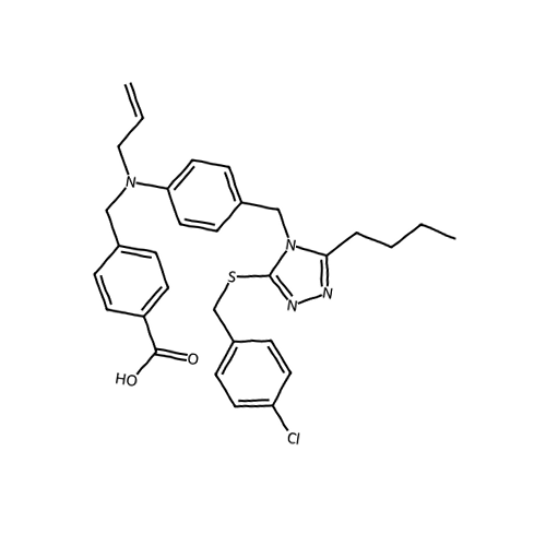 C=CCN(Cc1ccc(C(=O)O)cc1)c1ccc(Cn2c(CCCC)nnc2SCc2ccc(Cl)cc2)cc1